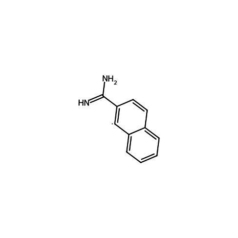 N=C(N)c1[c]c2ccccc2cc1